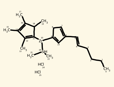 CCCCC=CC1=CC[C]([Zr]([C]2=C(C)C(C)=C(C)C2C)[SiH](C)C)=C1.Cl.Cl